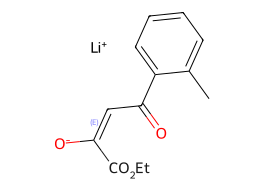 CCOC(=O)/C([O-])=C\C(=O)c1ccccc1C.[Li+]